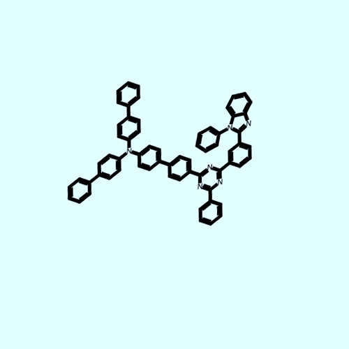 c1ccc(-c2ccc(N(c3ccc(-c4ccccc4)cc3)c3ccc(-c4ccc(-c5nc(-c6ccccc6)nc(-c6cccc(-c7nc8ccccc8n7-c7ccccc7)c6)n5)cc4)cc3)cc2)cc1